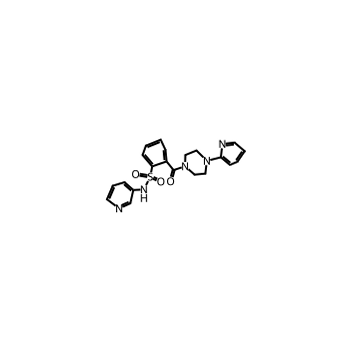 O=C(c1ccccc1S(=O)(=O)Nc1cccnc1)N1CCN(c2ccccn2)CC1